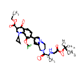 CCOC(=O)c1cn(C2CC2)c2c(OC(F)F)c(-c3cc4n(c3)CCN(C(=O)[C@H](C)NCC(=O)OC(C)(C)C)C4)ccc2c1=O